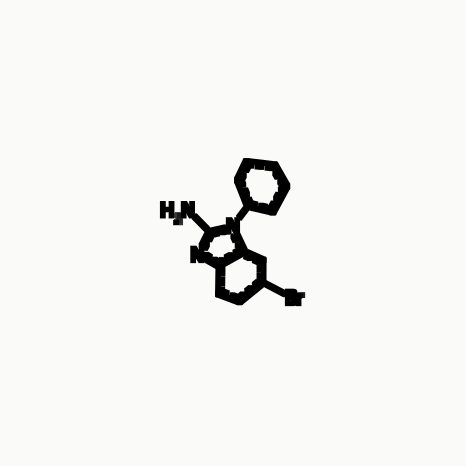 Nc1nc2ccc(Br)cc2n1-c1ccccc1